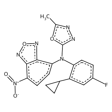 Cc1nnc(N(c2ccc(F)cc2C2CC2)c2ccc([N+](=O)[O-])c3nonc23)o1